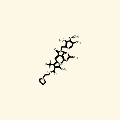 COc1c(C)cnc(CN2C(=O)/C(=C/c3[nH]c(C)c(C(=O)NCCN4CCCC4)c3C(F)(F)F)c3c(Cl)nc(N)nc32)c1C